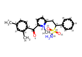 Cc1ccc(C(=O)c2ccc(CC(c3ccccc3)S(N)(=O)=O)n2C)c(C)c1